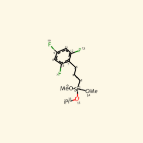 CO[Si](CCCc1c(F)cc(F)cc1F)(OC)OC(C)C